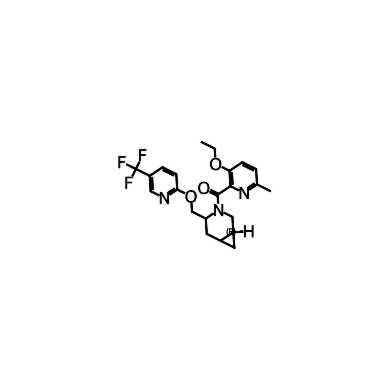 CCOc1ccc(C)nc1C(=O)N1C[C@@H]2CC2CC1COc1ccc(C(F)(F)F)cn1